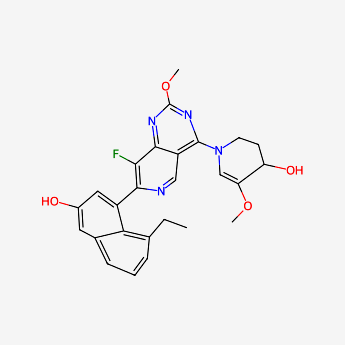 CCc1cccc2cc(O)cc(-c3ncc4c(N5C=C(OC)C(O)CC5)nc(OC)nc4c3F)c12